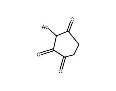 CC(=O)C1C(=O)CCC(=O)C1=O